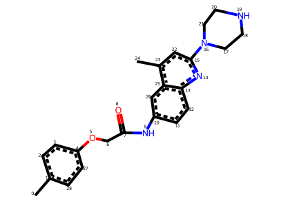 Cc1ccc(OCC(=O)Nc2ccc3nc(N4CCNCC4)cc(C)c3c2)cc1